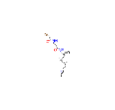 C/C=C/CCC(C)C[C@H](C)C[C@@H](CCC)CNC(=O)CCNC(=O)CBr